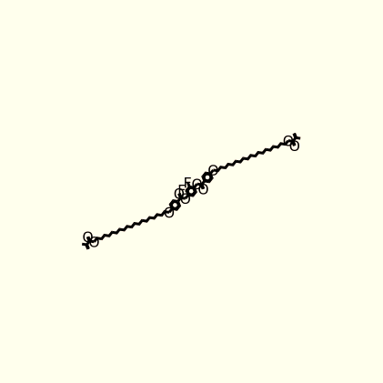 C=C(C)C(=O)OCCCCCCCCCCCCCCCCCCCOc1ccc(C(=O)Oc2ccc(OC(=O)c3ccc(OCCCCCCCCCCCCCCCCCCCOC(=O)C(=C)C)cc3)c(F)c2F)cc1